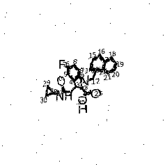 O=C(CC1c2cc(F)ccc2N(Cc2cccc3ccccc23)C1C(=O)O)NC1CC1